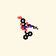 CCNCC(=O)Oc1c(NC(=O)OCC2c3ccccc3-c3ccccc32)c(=O)oc2cc(O)ccc12